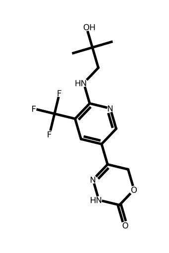 CC(C)(O)CNc1ncc(C2=NNC(=O)OC2)cc1C(F)(F)F